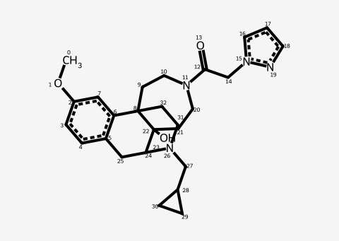 COc1ccc2c(c1)C13CCN(C(=O)Cn4cccn4)CCC1(O)C(C2)N(CC1CC1)CC3